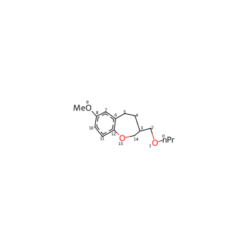 CCCOCC1CCc2cc(OC)ccc2OC1